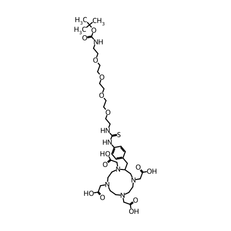 CC(C)(C)OC(=O)NCCOCCOCCOCCOCCNC(=S)Nc1ccc(CC2CN(CC(=O)O)CCN(CC(=O)O)CCN(CC(=O)O)CCN2CC(=O)O)cc1